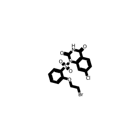 O=c1[nH]c(=O)n(S(=O)(=O)c2ccccc2OCCBr)c2cc(Cl)ccc12